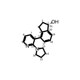 O[C@H]1CCc2c(-c3cccnc3N3CCCC3)cccc21